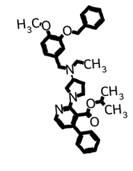 CCN(Cc1ccc(OC)c(OCc2ccccc2)c1)[C@@H]1CCN(c2nccc(-c3ccccc3)c2C(=O)OC(C)C)C1